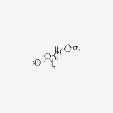 Nc1c(Cc2ccncc2)cccc1C(=O)NOCc1ccc(C(F)(F)F)cc1